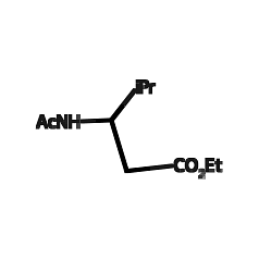 CCOC(=O)CC(NC(C)=O)C(C)C